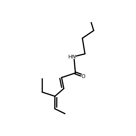 CC=C(C=CC(=O)NCCCC)CC